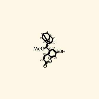 COC(=C1C2CC3CC(C2)CC1C3)c1cc(O)cc2oc(=O)ccc12